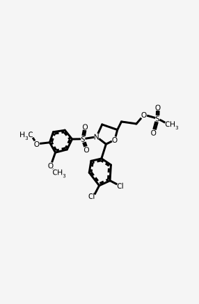 COc1ccc(S(=O)(=O)N2CC(CCOS(C)(=O)=O)OC2c2ccc(Cl)c(Cl)c2)cc1OC